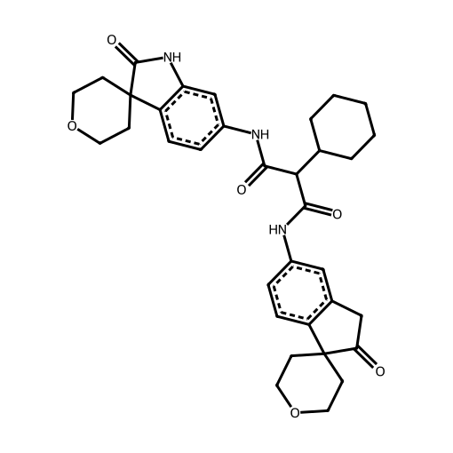 O=C(Nc1ccc2c(c1)CC(=O)C21CCOCC1)C(C(=O)Nc1ccc2c(c1)NC(=O)C21CCOCC1)C1CCCCC1